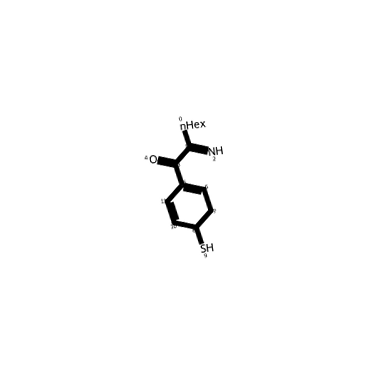 CCCCCCC(=N)C(=O)C1=CCC(S)C=C1